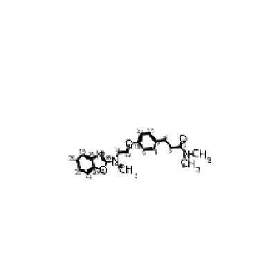 CN(C)C(=O)CCc1ccc(OCCN(C)c2nc3ccccc3o2)cc1